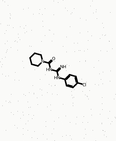 N=C(NC(=O)N1CCCCC1)Nc1ccc(Cl)cc1